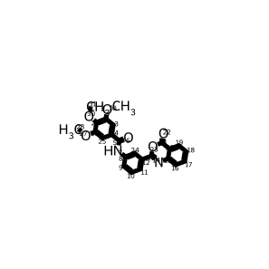 COc1cc(C(=O)Nc2cccc(-c3nc4ccccc4c(=O)o3)c2)cc(OC)c1OC